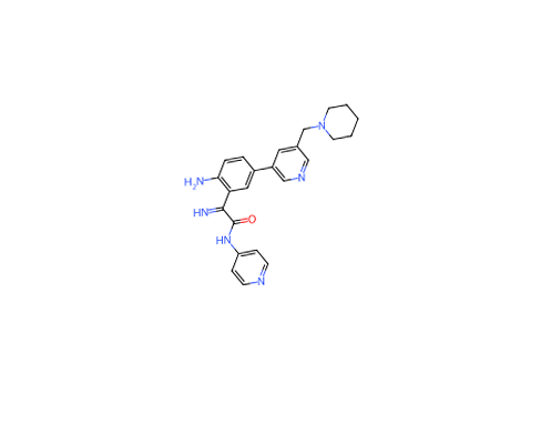 N=C(C(=O)Nc1ccncc1)c1cc(-c2cncc(CN3CCCCC3)c2)ccc1N